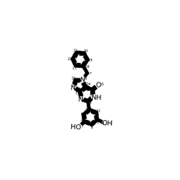 O=c1[nH]c(-c2cc(O)cc(O)c2)nc2ncn(Cc3ccccc3)c12